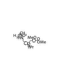 CCCn1cc(Cc2ccc(C(=O)OC)cc2OC)c2cc(CCNC(=O)N(C)C)ccc21